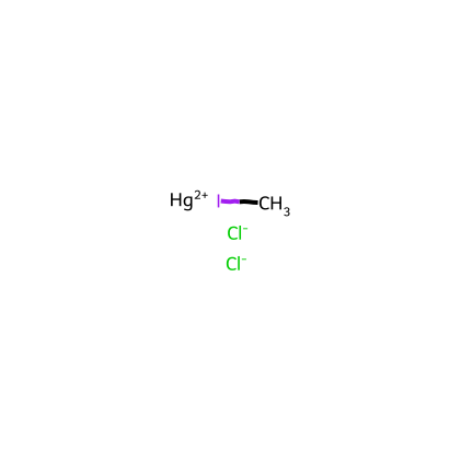 CI.[Cl-].[Cl-].[Hg+2]